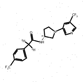 [2H]C([2H])(C(=O)N[C@@H]1CCN(c2cncc(C(F)(F)F)c2)C1)c1ccc(C(F)(F)F)cc1